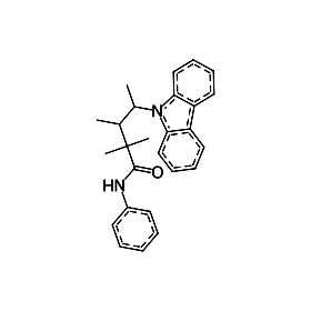 CC(C(C)C(C)(C)C(=O)Nc1ccccc1)n1c2ccccc2c2ccccc21